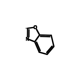 [c]1nc2ccccc2o1